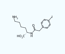 NCCCC[C@H](NC(=O)Cc1ccc(I)cc1)C(=O)O